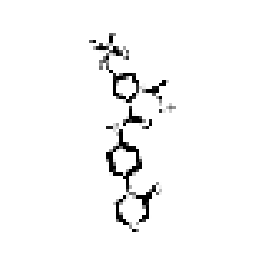 CB(O)N1C[C@H](OS(C)(=O)=O)C[C@@H]1C(=O)Nc1ccc(N2CCOCC2=O)cc1